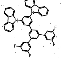 Fc1cc(F)cc(-c2cc(-c3cc(F)cc(F)c3)cc(-c3cc(-n4c5ccccc5c5ccccc54)cc(-n4c5ccccc5c5ccccc54)c3)c2)c1